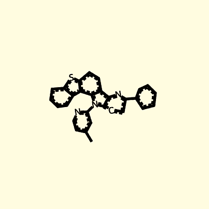 Cc1ccnc(-n2c3ccc(-c4ccccc4)nc3c3ccc4sc5ccccc5c4c32)c1